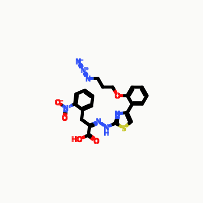 [N-]=[N+]=NCCCOc1ccccc1-c1csc(N/N=C(/Cc2ccccc2[N+](=O)[O-])C(=O)O)n1